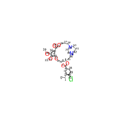 CCc1cc(C(=O)OC2CCCOc3cc(cc(OC)c3OC)C(=O)OCCCN3CCCN(CC2)CC3)ccc1Cl